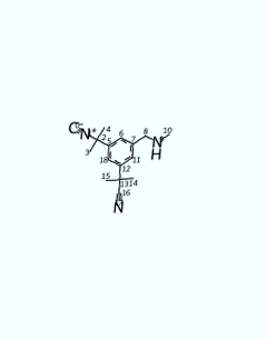 [C-]#[N+]C(C)(C)c1cc(CNC)cc(C(C)(C)C#N)c1